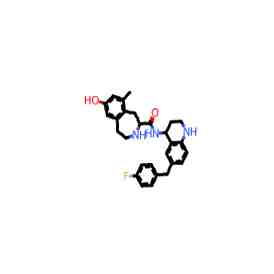 Cc1cc(O)cc2c1CC(C(=O)NC1CCNc3ccc(Cc4ccc(F)cc4)cc31)NCC2